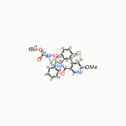 COc1ncc(C(N)=O)c(-c2c(Cl)ccc3c2C[C@@](CNC(=O)OC(C)(C)C)(c2ccccc2)O3)c1F